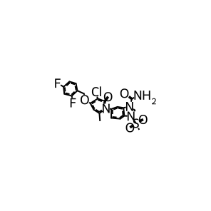 Cc1cc(OCc2ccc(F)cc2F)c(Cl)c(=O)n1-c1ccc2c(c1)N(C(N)=O)CN2S(C)(=O)=O